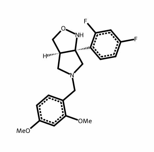 COc1ccc(CN2C[C@H]3CON[C@@]3(c3ccc(F)cc3F)C2)c(OC)c1